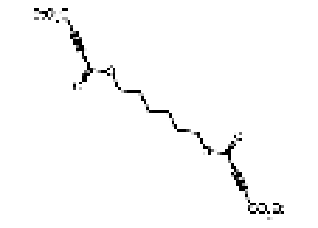 CCOC(=O)C#CC(=O)OCCCCCCOC(=O)C#CC(=O)OCC